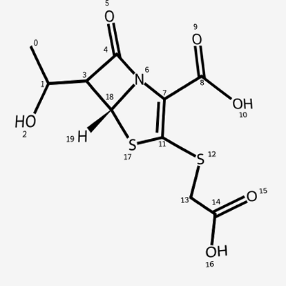 CC(O)C1C(=O)N2C(C(=O)O)=C(SCC(=O)O)S[C@H]12